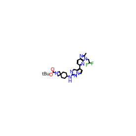 Cc1nc2ccc(-c3ccn4nc(NC5CCC6(CC5)CN(C(=O)OC(C)(C)C)C6)ncc34)nc2n1CC(F)F